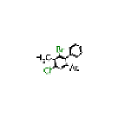 CC(=O)c1cc(Cl)c(C)c(Br)c1-c1ccccc1